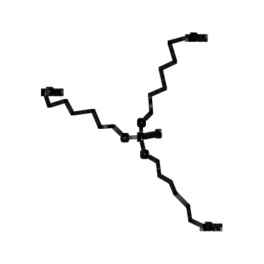 CCCCCCCCCCCCCCCCOP(=S)(OCCCCCCCCCCCCCCCC)OCCCCCCCCCCCCCCCC